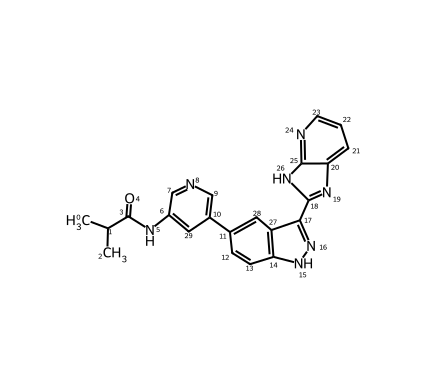 CC(C)C(=O)Nc1cncc(-c2ccc3[nH]nc(-c4nc5cccnc5[nH]4)c3c2)c1